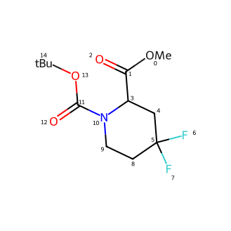 COC(=O)C1CC(F)(F)CCN1C(=O)OC(C)(C)C